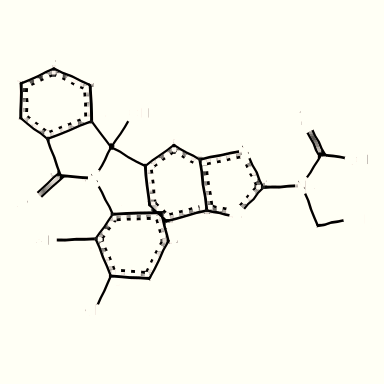 CCN(C(=O)O)c1nc2cc(C3(O)c4ccccc4C(=O)N3c3cccc(Cl)c3F)ccc2o1